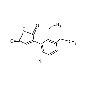 CCc1cccc(C2=CC(=O)NC2=O)c1CC.N